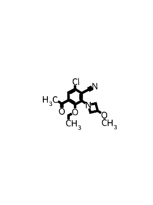 CCOc1c(C(C)=O)cc(Cl)c(C#N)c1N1CC(OC)C1